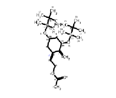 C=C1/C(=C\COC(C)=O)C[C@@H](O[Si](C)(C)C(C)(C)C)C[C@H]1O[Si](C)(C)C(C)(C)C